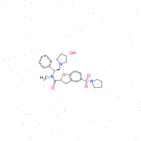 CN(C(=O)C1Cc2cc(S(=O)(=O)N3CCCC3)ccc2O1)[C@H](CN1CC[C@H](O)C1)c1ccccc1